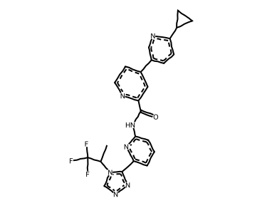 CC(n1cnnc1-c1cccc(NC(=O)c2cc(-c3ccc(C4CC4)nc3)ccn2)n1)C(F)(F)F